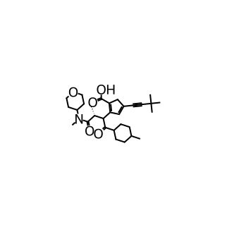 CC1CCC(C(=O)C(C2=C(C(=O)O)CC(C#CC(C)(C)C)=C2)[C@@H](C)C(=O)N(C)C2CCOCC2)CC1